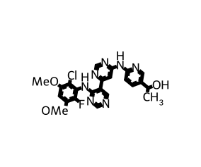 COc1cc(OC)c(Cl)c(Nc2ncncc2-c2cc(Nc3ccc(C(C)O)cn3)ncn2)c1F